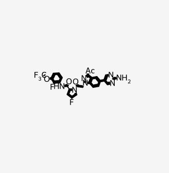 CC(=O)c1nn(CC(=O)N2C[C@H](F)C[C@H]2C(=O)Nc2cccc(OC(F)(F)F)c2F)c2ccc(-c3cnc(N)nc3)cc12